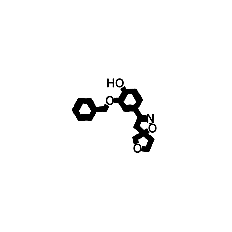 Oc1ccc(C2=NOC3(CCOC3)C2)cc1OCc1ccccc1